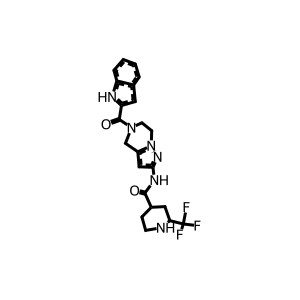 O=C(Nc1cc2n(n1)CCN(C(=O)c1cc3ccccc3[nH]1)C2)C1CCNC(C(F)(F)F)C1